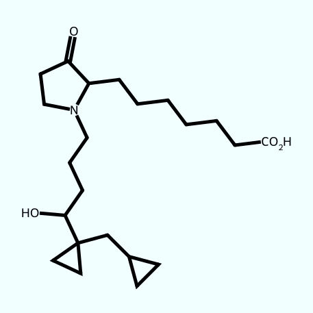 O=C(O)CCCCCCC1C(=O)CCN1CCCC(O)C1(CC2CC2)CC1